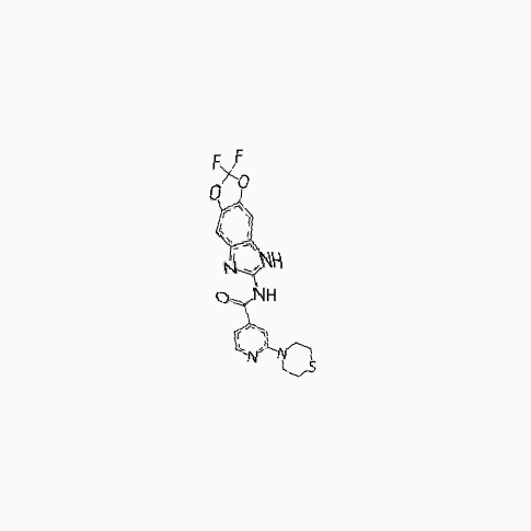 O=C(Nc1nc2cc3c(cc2[nH]1)OC(F)(F)O3)c1ccnc(N2CCSCC2)c1